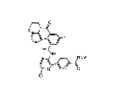 CNC(=O)c1ccc(-c2nc(Cl)ccc2NC(C)c2cc(C)cc3c(=O)n4c5c(cnn5CCC4)c23)cn1